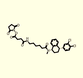 CN(C(=O)CCCCCNC(=O)CCC(=O)ON1C(=O)CCC1=O)[C@H]1CC[C@@H](c2ccc(Cl)c(Cl)c2)c2ccccc21